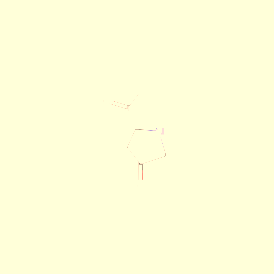 O=C1CN[C@@H](C(=O)O)C1